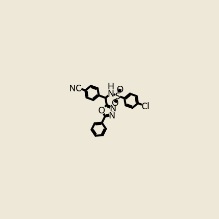 N#Cc1ccc(C(NS(=O)(=O)c2ccc(Cl)cc2)c2nnc(-c3ccccc3)o2)cc1